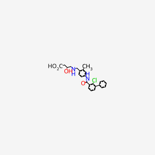 Cc1cc(NC(=O)c2cccc(-c3ccccc3)c2Cl)ccc1CNC[C@@H](O)CC(=O)O